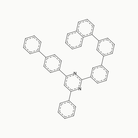 c1ccc(-c2ccc(-c3cc(-c4ccccc4)nc(-c4cccc(-c5cccc(-c6cccc7ccccc67)c5)c4)n3)cc2)cc1